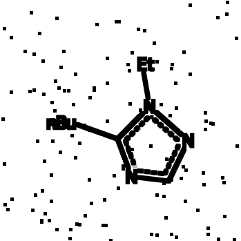 CCCCc1ncnn1CC